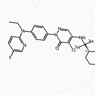 [2H]C([2H])(Nc1cnn(-c2ccc(N(CC)c3ccc(F)cn3)cc2)c(=O)c1Cl)[C@@H]1CCCOC1